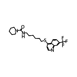 O=C(NCCCCCCSc1ccnc2cc(C(F)(F)F)ccc12)N1CCCCC1